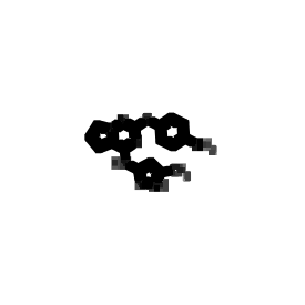 Nc1ccc(Sc2nc(Nc3cc(C(F)(F)F)[nH]n3)c3cccn3n2)cc1